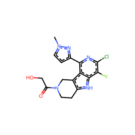 Cn1ccc(-c2nc(Cl)c(F)c3[nH]c4c(c23)CN(C(=O)CO)CC4)n1